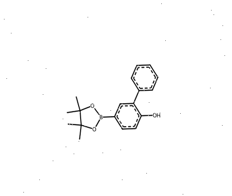 CC1(C)OB(c2ccc(O)c(-c3ccccc3)c2)OC1(C)C